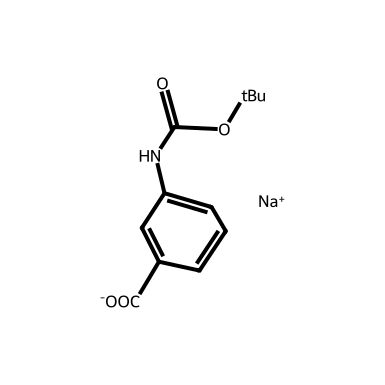 CC(C)(C)OC(=O)Nc1cccc(C(=O)[O-])c1.[Na+]